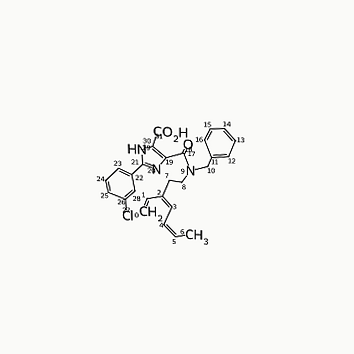 C=C/C(=C\C=C/C)CCN(Cc1ccccc1)C(=O)c1nc(-c2cccc(Cl)c2)[nH]c1C(=O)O